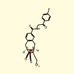 O=C(CNC(=O)c1ccc2c(c1)C[C@H]1CC[C@@H](C2)[C@]12CN(CC(F)(F)F)S(=O)(=O)N2)c1ccc(F)cc1